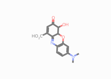 CN(C)c1ccc2c(c1)OC1C(=N2)C(C(=O)O)=CC(=O)C1O